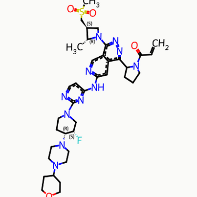 C=CC(=O)N1CCCC1c1nnc(N2C[C@H](CS(C)(=O)=O)[C@H]2C)c2cnc(Nc3ccnc(N4CC[C@@H](N5CCN(C6CCOCC6)CC5)[C@@H](F)C4)n3)cc12